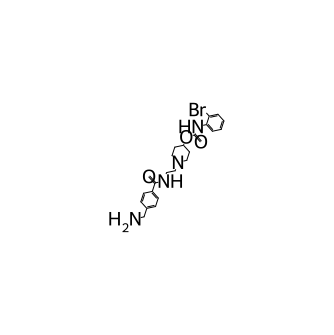 NCc1ccc(C(=O)NCCN2CCC(OC(=O)Nc3ccccc3Br)CC2)cc1